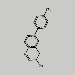 CC(=O)C1[C]=Nc2ccc(-c3ccc(C(F)(F)F)cc3)cc2C1